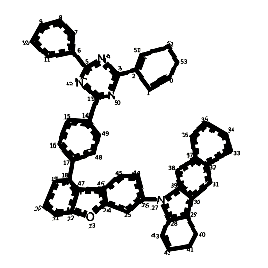 C1=CC(c2nc(-c3ccccc3)nc(-c3ccc(-c4cccc5oc6cc(-n7c8c(c9cc%10ccccc%10cc97)CCC=C8)ccc6c45)cc3)n2)=CCC1